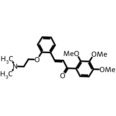 COc1ccc(C(=O)C=Cc2ccccc2OCCN(C)C)c(OC)c1OC